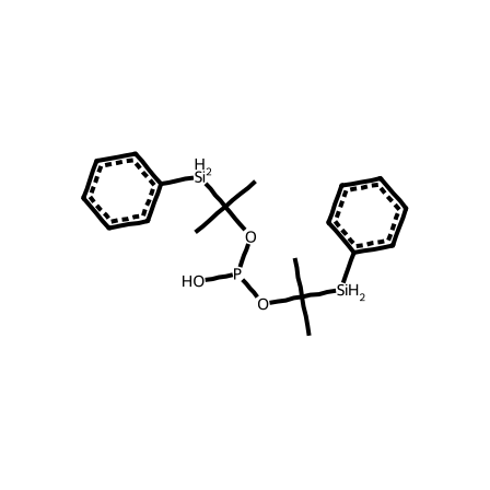 CC(C)(OP(O)OC(C)(C)[SiH2]c1ccccc1)[SiH2]c1ccccc1